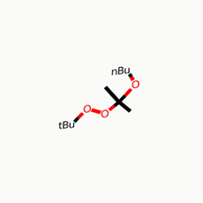 CCCCOC(C)(C)OOC(C)(C)C